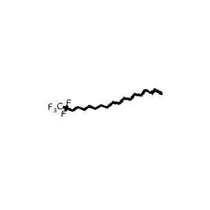 C=CCCCCCCCCCCCCCCCC(F)(F)C(F)(F)F